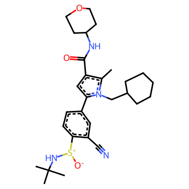 Cc1c(C(=O)NC2CCOCC2)cc(-c2ccc([S+]([O-])NC(C)(C)C)c(C#N)c2)n1CC1CCCCC1